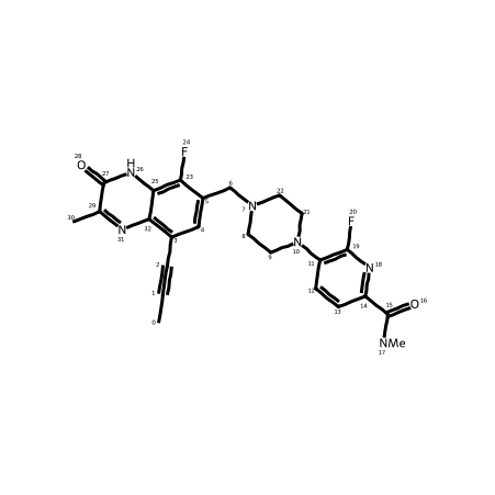 CC#Cc1cc(CN2CCN(c3ccc(C(=O)NC)nc3F)CC2)c(F)c2[nH]c(=O)c(C)nc12